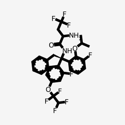 CC(C)Oc1c(F)cccc1[C@@](Cc1ccccc1)(NC(=O)C(N)CC(F)(F)F)c1ccc(OC(F)(F)C(F)F)cc1F